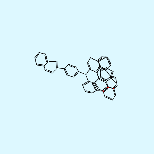 CC1C=C(c2cccc3cccc(-c4ccccc4)c23)C(N(c2ccc(-c3ccc4ccccc4c3)cc2)c2cccc(-c3cccc4sc5ccccc5c34)c2)=CC1